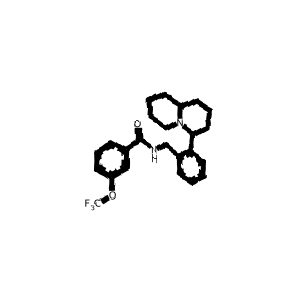 O=C(NCc1ccccc1C1CCCC2CCCCN21)c1cccc(OC(F)(F)F)c1